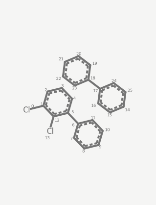 Clc1cccc(-c2ccccc2)c1Cl.c1ccc(-c2ccccc2)cc1